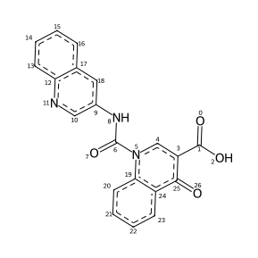 O=C(O)c1cn(C(=O)Nc2cnc3ccccc3c2)c2ccccc2c1=O